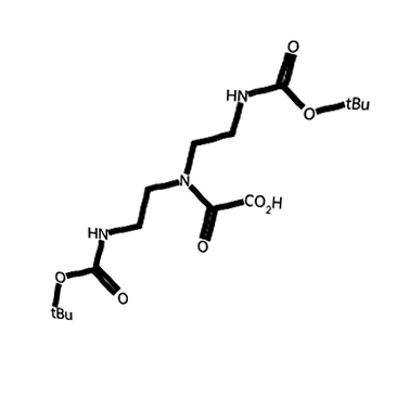 CC(C)(C)OC(=O)NCCN(CCNC(=O)OC(C)(C)C)C(=O)C(=O)O